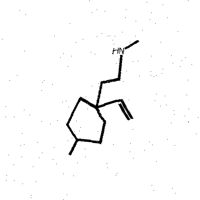 C=CC1(CCNC)CCC(C)CC1